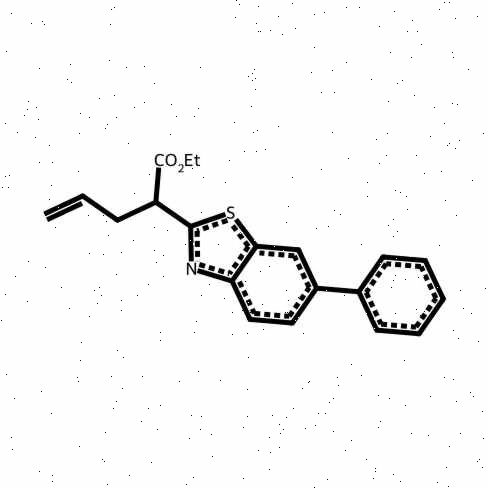 C=CCC(C(=O)OCC)c1nc2ccc(-c3ccccc3)cc2s1